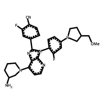 COCC1CCN(c2ccc(-n3c(-c4ccc(C#N)c(F)c4)nc4c(N5CCCC(N)C5)ccnc43)c(F)c2)C1